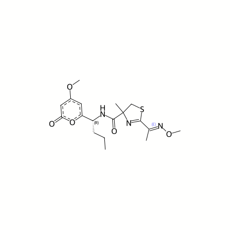 CCC[C@@H](NC(=O)C1(C)CSC(/C(C)=N/OC)=N1)c1cc(OC)cc(=O)o1